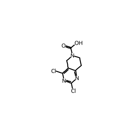 O=C(O)N1CCc2nc(Cl)nc(Cl)c2C1